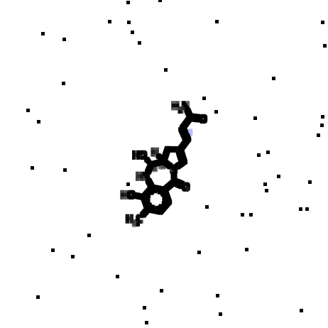 Cc1ccc2c(c1O)N[C@@H](O)[C@@H]1CC(/C=C/C(N)=O)=CN1C2=O